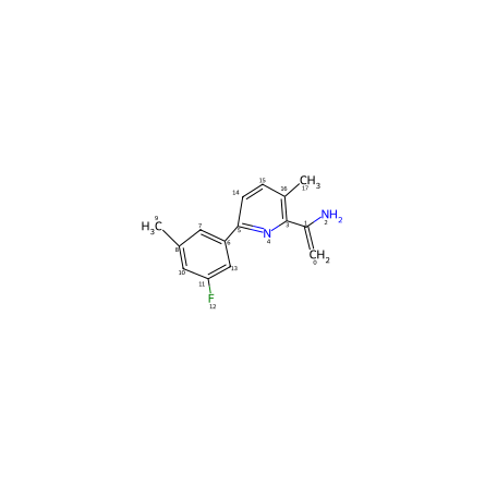 C=C(N)c1nc(-c2cc(C)cc(F)c2)ccc1C